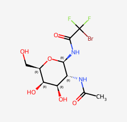 CC(=O)N[C@@H]1[C@@H](O)[C@@H](O)[C@@H](CO)O[C@H]1NC(=O)C(F)(F)Br